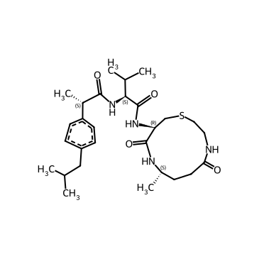 CC(C)Cc1ccc([C@H](C)C(=O)N[C@H](C(=O)N[C@H]2CSCCNC(=O)CC[C@H](C)NC2=O)C(C)C)cc1